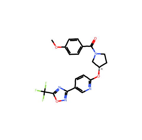 COc1ccc(C(=O)N2CC[C@@H](Oc3ccc(-c4noc(C(F)(F)F)n4)cn3)C2)cc1